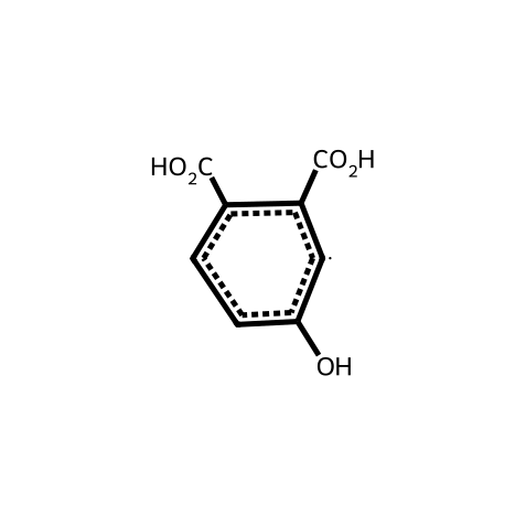 O=C(O)c1[c]c(O)ccc1C(=O)O